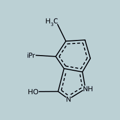 Cc1ccc2[nH]nc(O)c2c1C(C)C